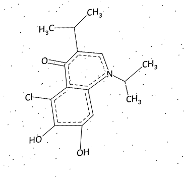 CC(C)c1cn(C(C)C)c2cc(O)c(O)c(Cl)c2c1=O